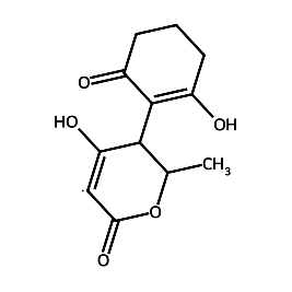 CC1OC(=O)[C]=C(O)C1C1=C(O)CCCC1=O